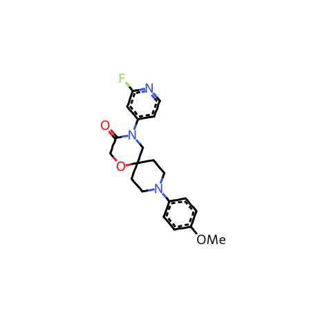 COc1ccc(N2CCC3(CC2)CN(c2ccnc(F)c2)C(=O)CO3)cc1